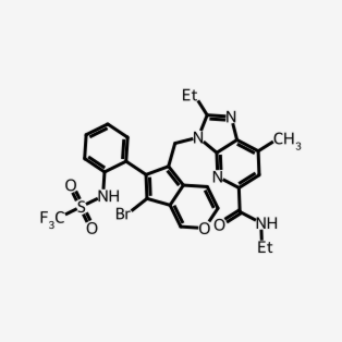 CCNC(=O)c1cc(C)c2nc(CC)n(Cc3c4ccocc-4c(Br)c3-c3ccccc3NS(=O)(=O)C(F)(F)F)c2n1